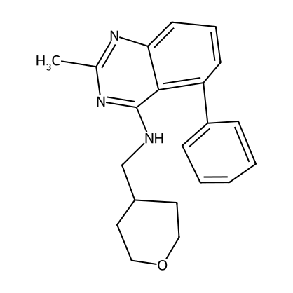 Cc1nc(NCC2CCOCC2)c2c(-c3ccccc3)cccc2n1